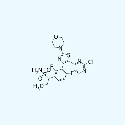 CCC(c1ccc(F)c(-c2nc(N3CCOCC3)sc2-c2ccnc(Cl)n2)c1F)S(N)(=O)=O